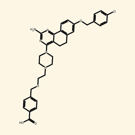 Nc1nc2c(c(N3CCN(CCOCc4ccc(C(=O)O)cc4)CC3)n1)CCc1cc(OCc3ccc(Cl)cc3)ccc1-2